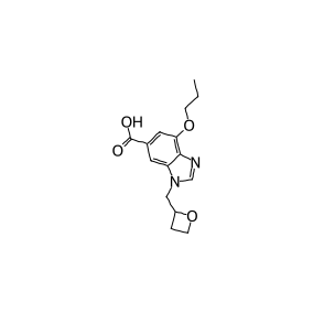 CCCOc1cc(C(=O)O)cc2c1ncn2CC1CCO1